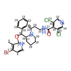 Cc1c(Br)ccnc1OC(c1ccccc1)C1CCCCN1C(C)CCNC(=O)c1c(Cl)cncc1Cl